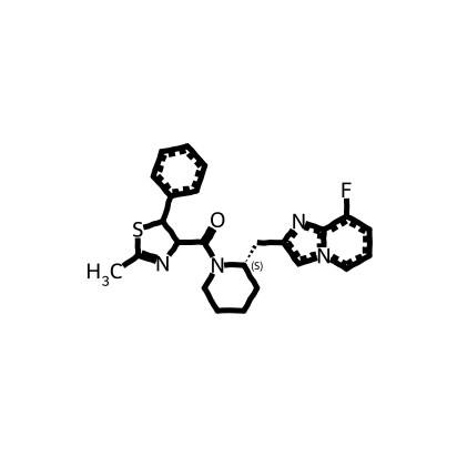 CC1=NC(C(=O)N2CCCC[C@H]2Cc2cn3cccc(F)c3n2)C(c2ccccc2)S1